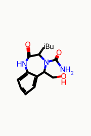 CCC(C)C1C(=O)Nc2ccccc2C(CO)N1C(N)=O